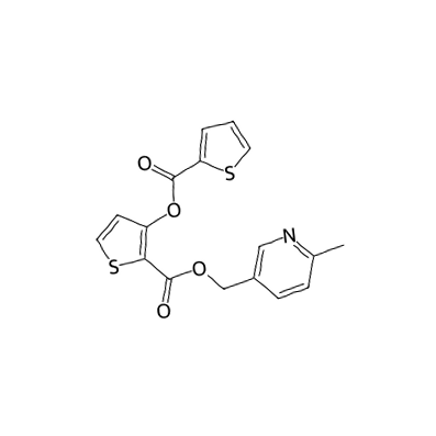 Cc1ccc(COC(=O)c2sccc2OC(=O)c2cccs2)cn1